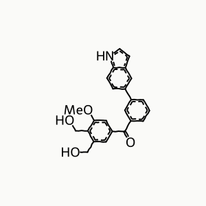 COc1cc(C(=O)c2cccc(-c3ccc4[nH]ccc4c3)c2)cc(CO)c1CO